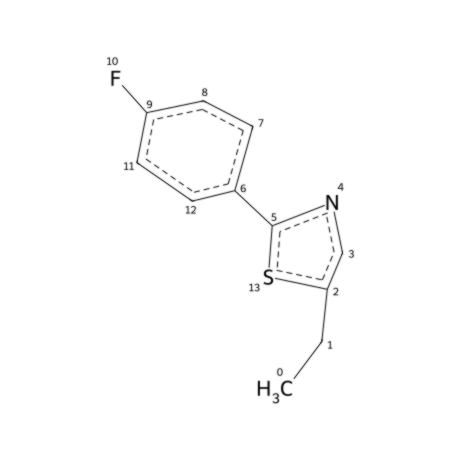 CCc1cnc(-c2ccc(F)cc2)s1